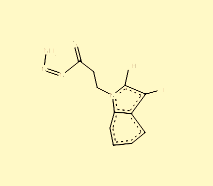 Cc1c(C)n(CCC(=N)/N=N\N)c2ccccc12